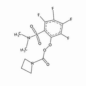 CN(C)S(=O)(=O)c1c(F)c(F)c(F)c(F)c1OOC(=O)N1CCC1